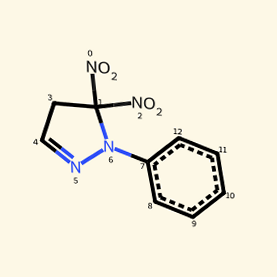 O=[N+]([O-])C1([N+](=O)[O-])CC=NN1c1ccccc1